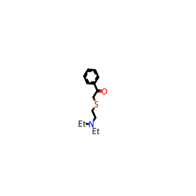 CCN(CC)CCSCC(=O)c1ccccc1